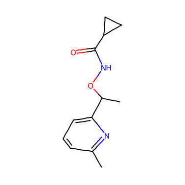 Cc1cccc(C(C)ONC(=O)C2CC2)n1